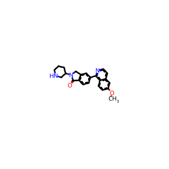 COc1ccc2c(-c3ccc4c(c3)CN(C3CCCNC3)C4=O)nccc2c1